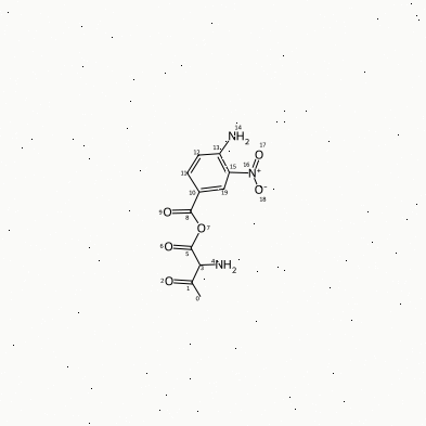 CC(=O)C(N)C(=O)OC(=O)c1ccc(N)c([N+](=O)[O-])c1